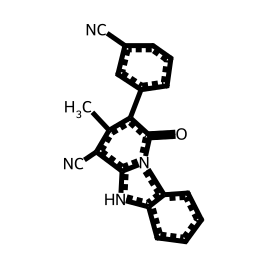 Cc1c(-c2cccc(C#N)c2)c(=O)n2c([nH]c3ccccc32)c1C#N